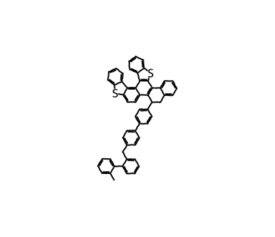 Cc1ccccc1-c1ccccc1Cc1ccc(-c2ccc(C3Cc4ccccc4-c4c3c3ccc5sc6ccccc6c5c3c3c4sc4ccccc43)cc2)cc1